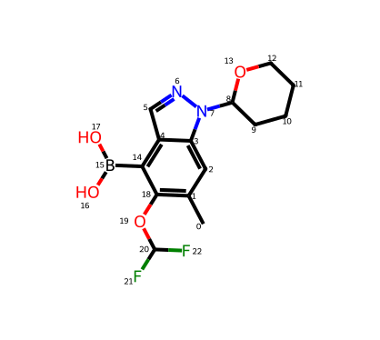 Cc1cc2c(cnn2C2CCCCO2)c(B(O)O)c1OC(F)F